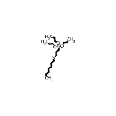 CCCCCCCSCCC[Si](OCCC)(OCCC)OCCC